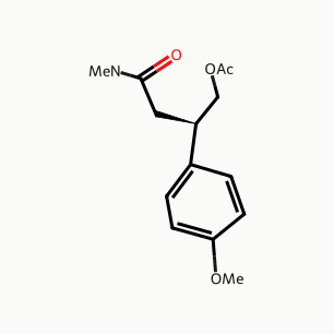 CNC(=O)C[C@@H](COC(C)=O)c1ccc(OC)cc1